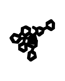 Cc1cc(-c2ccccc2)ccc1N(c1ccc(-c2ccccc2)cc1)c1cccc2c1C1(c3ccccc3-c3ccccc31)c1ccccc1-2